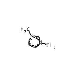 Cn1[c][n+](C)cc1